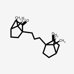 CC1(C)C2CCC1(CCCC13CCC(CC1=O)C3(C)C)C(=O)C2